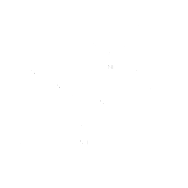 O=C(O)CCN(CC(=O)NCC1(c2ccccc2)CCC1)C(=O)[C@H](Cc1c[nH]cn1)NC(=O)OCc1ccccc1